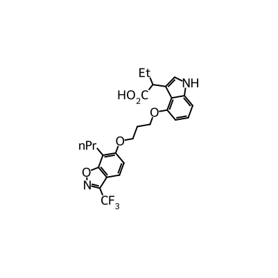 CCCc1c(OCCCOc2cccc3[nH]cc(C(CC)C(=O)O)c23)ccc2c(C(F)(F)F)noc12